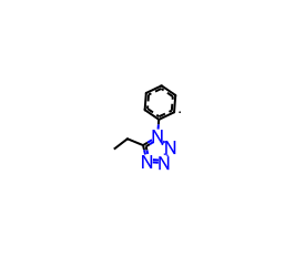 CCc1nnnn1-c1[c]cccc1